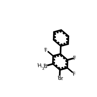 Bc1c(F)c(-c2ccccc2)c(F)c(F)c1Br